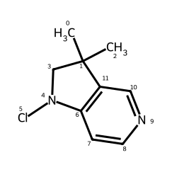 CC1(C)CN(Cl)c2ccncc21